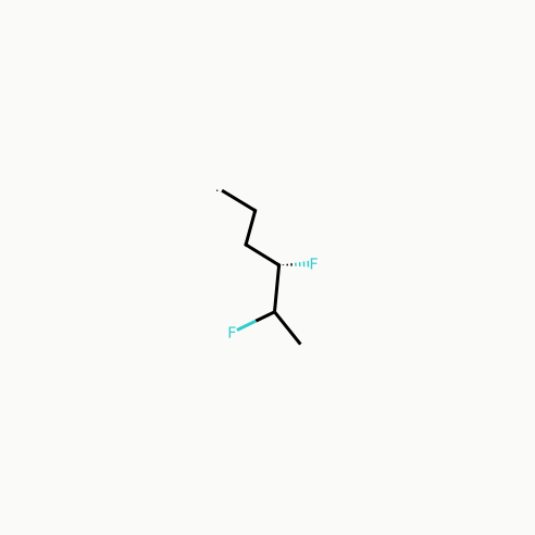 [CH2]CC[C@H](F)C(C)F